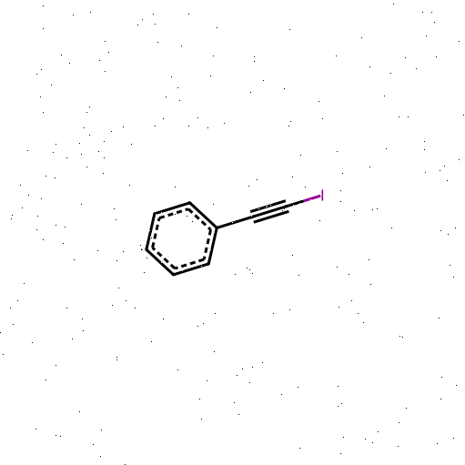 IC#Cc1cc[c]cc1